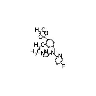 COC(=O)c1ccc(CN(c2ccc(F)cn2)c2ccn(C)n2)cc1C